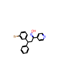 ON=C(CC(c1ccccc1)c1cccc(Br)c1)c1ccncc1